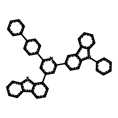 c1ccc(-c2ccc(-c3cc(-c4cccc5c4sc4ccccc45)cc(-c4ccc5c(c4)c4ccccc4n5-c4ccccc4)n3)cc2)cc1